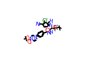 Cc1c(N[C@@H](c2nnc(-c3ccc(N4CCN(C(=O)OC(C)(C)C)CC4)cc3)o2)[C@H](C)O[Si](C)(C)C(C)(C)C)ccc(C#N)c1Cl